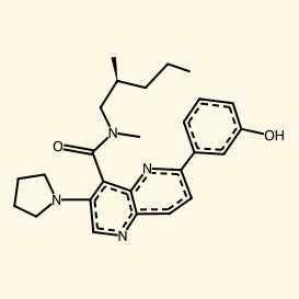 CCC[C@H](C)CN(C)C(=O)c1c(N2CCCC2)cnc2ccc(-c3cccc(O)c3)nc12